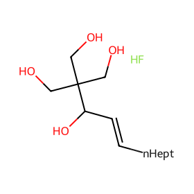 CCCCCCCC=CC(O)C(CO)(CO)CO.F